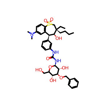 CCCC[C@]1(CC)CS(=O)(=O)c2ccc(N(C)C)cc2[C@H](c2cccc(NC(=O)N[C@@H]3OC(CO)[C@@H](O)[C@H](OCc4ccccc4)[C@H]3O)c2)[C@@H]1O